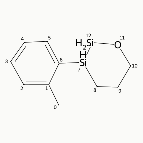 Cc1ccccc1[SiH]1CCCO[SiH2]1